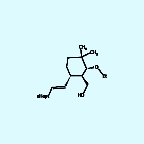 CCCCCCC/C=C/[C@@H]1CCC(C)(C)[C@H](OCC)[C@H]1CO